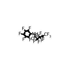 O=S(=O)(Nc1c(F)c(F)c(F)c(F)c1F)C(F)(F)C(F)(F)C(F)(F)C(F)(F)F